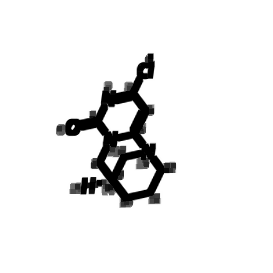 O=c1nc(Cl)cc2n1C[C@@H]1CCCN2C1